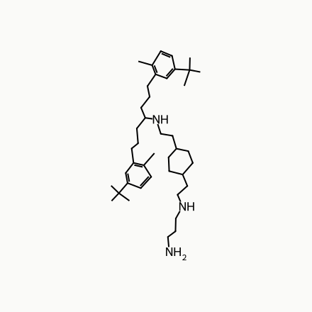 Cc1ccc(C(C)(C)C)cc1CCCC(CCCc1cc(C(C)(C)C)ccc1C)NCCC1CCC(CCNCCCN)CC1